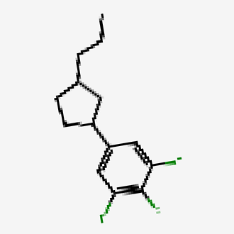 CCCC1CCC(c2cc(F)c(F)c(F)c2)C1